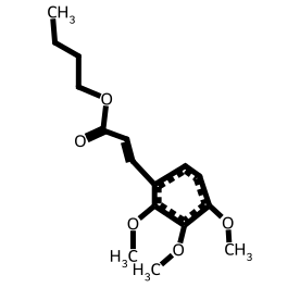 CCCCOC(=O)C=Cc1ccc(OC)c(OC)c1OC